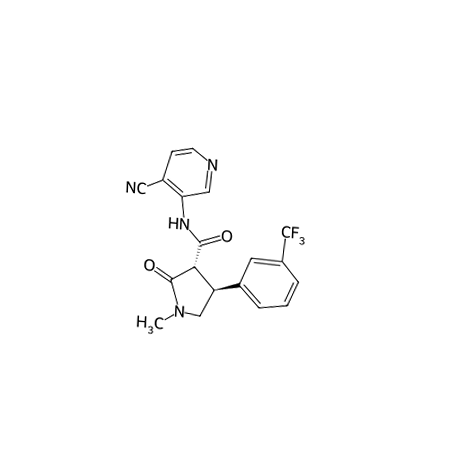 CN1C[C@H](c2cccc(C(F)(F)F)c2)[C@@H](C(=O)Nc2cnccc2C#N)C1=O